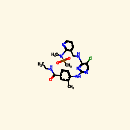 CCNC(=O)c1ccc(Nc2ncc(Cl)c(NCc3cccnc3N(C)S(C)(=O)=O)n2)c(C)c1